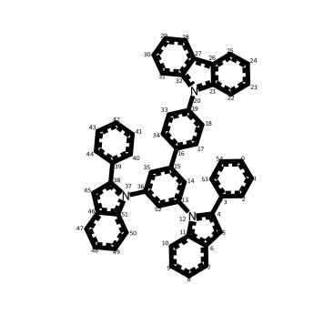 c1ccc(-c2cc3ccccc3n2-c2cc(-c3ccc(-n4c5ccccc5c5ccccc54)cc3)cc(-n3c(-c4ccccc4)cc4ccccc43)c2)cc1